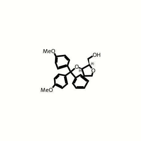 COc1ccc(C(O[C@@H]2CCO[C@@H]2CO)(c2ccccc2)c2ccc(OC)cc2)cc1